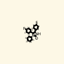 O=c1[nH]c(-c2ccc(F)cc2)c(-c2ccc(F)cc2)n1-c1ccccc1